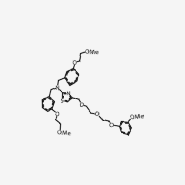 COCCOc1cccc(CN(Cc2cccc(OCCOC)c2)c2nc(COCCOCCOc3cccc(OC)c3)cs2)c1